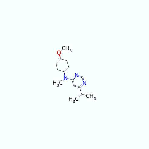 CO[C@H]1CC[C@@H](N(C)c2cc(C(C)C)ncn2)CC1